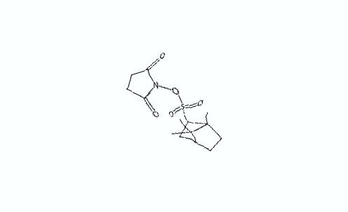 CC1(C)C2CCC1(C)C(S(=O)(=O)ON1C(=O)CCC1=O)C2